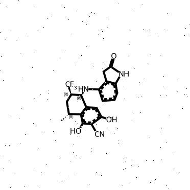 C[C@@H]1C[C@@H](C(F)(F)F)[C@@H](Nc2cccc3c2CC(=O)N3)c2cc(O)c(C#N)c(O)c21